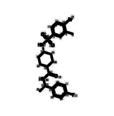 Cc1cc(S(=O)(=O)N[C@H]2CC[C@H](C(=O)N[C@H](C)c3ccc(F)cc3)CC2)ccc1Br